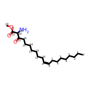 CCCCCCCC/C=C\CCCCCCCC(=O)C(N)C(=O)OC